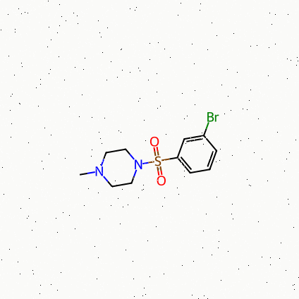 CN1CCN(S(=O)(=O)c2cccc(Br)c2)CC1